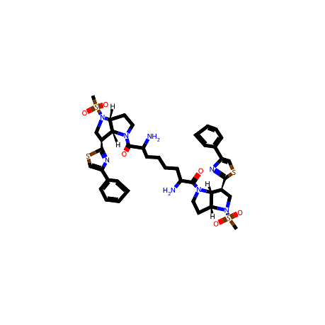 CS(=O)(=O)N1C[C@H](c2nc(-c3ccccc3)cs2)[C@@H]2[C@H]1CCN2C(=O)C(N)CCCCC(N)C(=O)N1CC[C@@H]2[C@H]1[C@@H](c1nc(-c3ccccc3)cs1)CN2S(C)(=O)=O